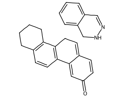 C1=NNCc2ccccc21.O=C1C=CC2=CCc3c(ccc4c3CCCC4)C2=C1